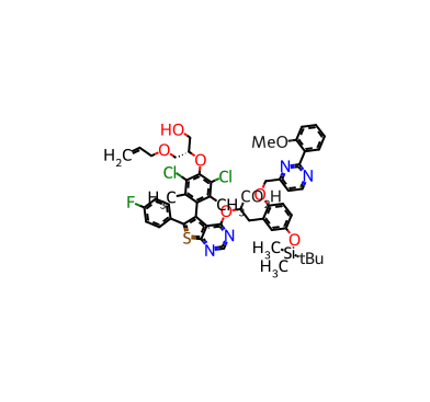 C=CCOC[C@H](CO)Oc1c(Cl)c(C)c(-c2c(-c3ccc(F)cc3)sc3ncnc(OC(Cc4cc(O[Si](C)(C)C(C)(C)C)ccc4OCc4ccnc(-c5ccccc5OC)n4)C(=O)O)c23)c(C)c1Cl